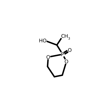 CC(O)P1(=O)OCCCO1